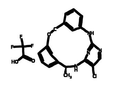 C[C@@H]1Nc2nc(ncc2Cl)Nc2cccc(c2)COc2cccc1c2.O=C(O)C(F)(F)F